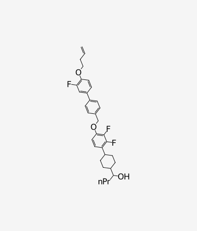 C=CCCOc1ccc(-c2ccc(COc3ccc(C4CCC(C(O)CCC)CC4)c(F)c3F)cc2)cc1F